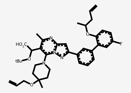 C=CCOC1(C)CCN(c2c(C(OC(C)(C)C)C(=O)O)c(C)nc3cc(-c4cccc(-c5cc(F)ccc5OC(C)CC=C)c4)nn23)CC1